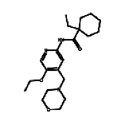 CCOc1cnc(NC(=O)C2(CC)CCCCC2)cc1CN1CCOCC1